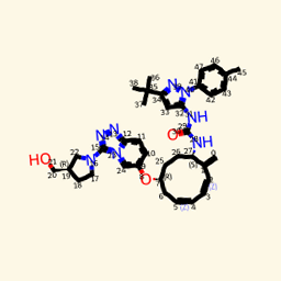 C=C1/C=C\C=C/C[C@H](Oc2ccc3nnc(N4CC[C@@H](CO)C4)n3c2)CC[C@@H]1NC(=O)Nc1cc(C(C)(C)C)nn1-c1ccc(C)cc1